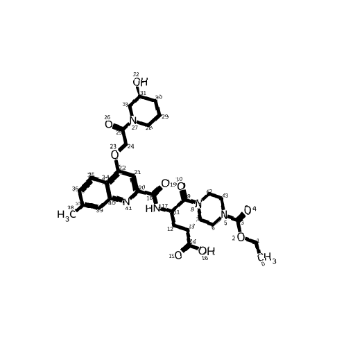 CCOC(=O)N1CCN(C(=O)C(CCC(=O)O)NC(=O)c2cc(OCC(=O)N3CCC[C@H](O)C3)c3ccc(C)cc3n2)CC1